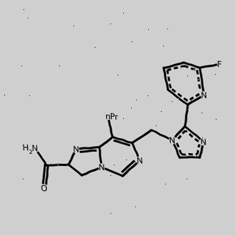 CCCC1=C(Cn2ccnc2-c2cccc(F)n2)N=CN2CC(C(N)=O)N=C12